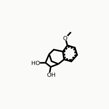 COc1cccc2c1CC1CC2C(O)C1O